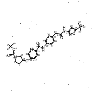 CC(C)(C)OC(=O)N1CCC(Oc2ccc(C(=O)Nc3ccc(CC(=O)Nc4cc(C(C)(C)C)on4)cc3)nc2)C1